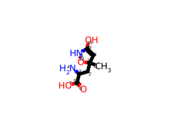 CC1(CC(N)C(=O)O)C=C(O)NO1